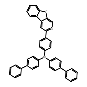 c1ccc(-c2ccc(N(c3ccc(-c4ccccc4)cc3)c3ccc(-c4cc5c(cn4)oc4ccccc45)cc3)cc2)cc1